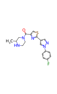 CC1CN(C(=O)c2csc(-c3cnn(-c4ccc(F)cc4)c3)n2)CCN1